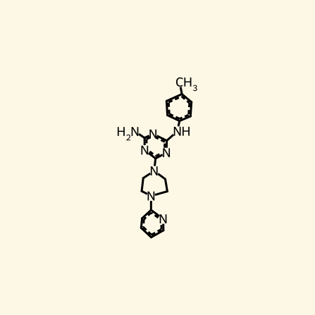 Cc1ccc(Nc2nc(N)nc(N3CCN(c4ccccn4)CC3)n2)cc1